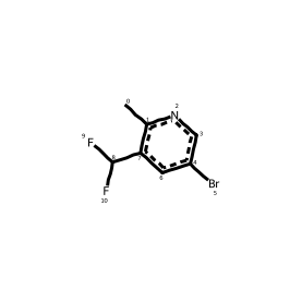 Cc1ncc(Br)cc1C(F)F